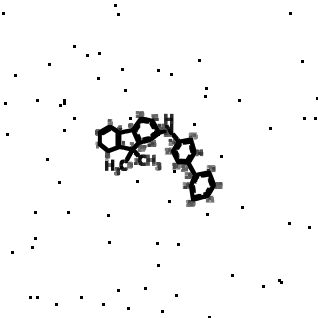 CC1(C)C2=C(C=CCC2)c2ccc(Nc3ccc(-c4ccccc4)cc3)cc21